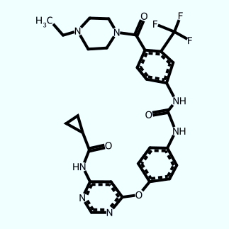 CCN1CCN(C(=O)c2ccc(NC(=O)Nc3ccc(Oc4cc(NC(=O)C5CC5)ncn4)cc3)cc2C(F)(F)F)CC1